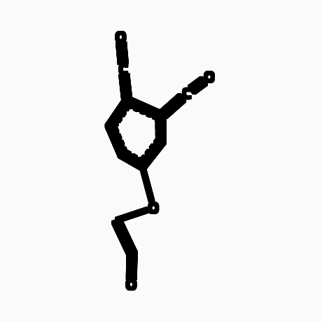 O=C=COc1ccc(=C=O)c(=C=O)c1